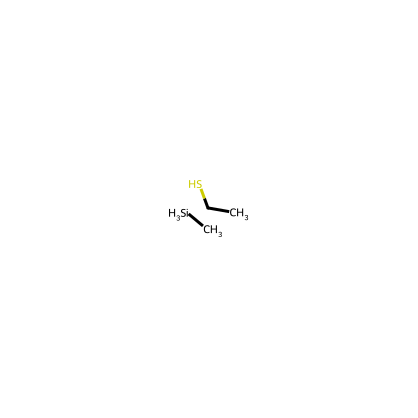 CCS.C[SiH3]